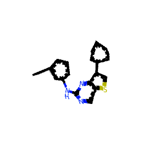 Cc1cccc(Nc2ncc3scc(-c4ccccc4)c3n2)c1